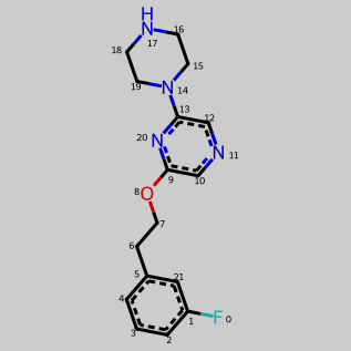 Fc1cccc(CCOc2cncc(N3CCNCC3)n2)c1